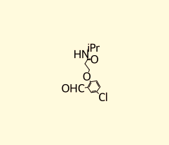 CC(C)NC(=O)CCOc1ccc(Cl)cc1C=O